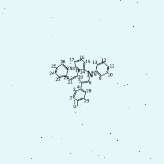 Cc1ccc(C=CN(c2ccccc2)c2ccccc2C=Cc2ccccc2)cc1